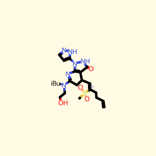 C=CCC/C(=C/C1CC(N(CCO)C(C)CC)=Nc2c1c(=O)[nH]n2-c1ccn[nH]1)S(C)(=O)=O